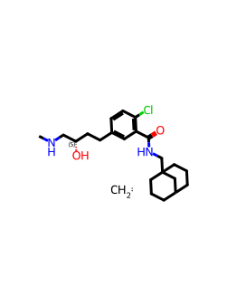 CNC[C@@H](O)CCc1ccc(Cl)c(C(=O)NCC23CCCC(CCC2)C3)c1.[CH2]